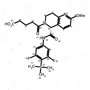 COc1ccc2c(n1)CCN(C(=O)CCCC(=O)O)[C@H]2C(=O)Nc1cc(F)c(S(C)(C)C)c(F)c1